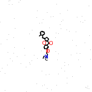 CCN(CC)CCOc1ccc2oc3c(c(=O)c2c1)CC/C3=C\c1ccccc1C